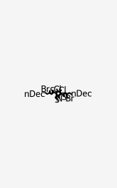 CCCCCCCCCCCCc1cc(-c2c(Cl)c(Cl)c(-c3cc(CCCCCCCCCCCC)c(Br)s3)c3nscc23)sc1Br